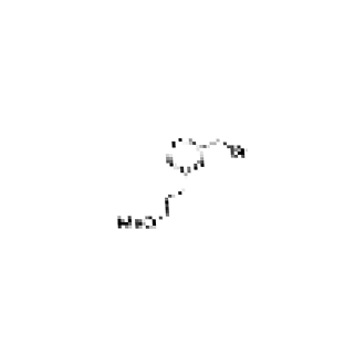 COCCCc1cccc(CBr)c1